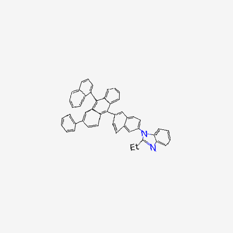 CCc1nc2ccccc2n1-c1ccc2cc(-c3c4ccccc4c(-c4cccc5ccccc45)c4cc(-c5ccccc5)ccc34)ccc2c1